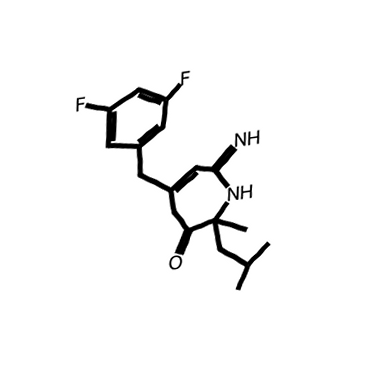 CC(C)CC1(C)NC(=N)C=C(Cc2cc(F)cc(F)c2)CC1=O